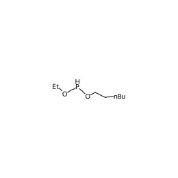 CCCCCCOPOCC